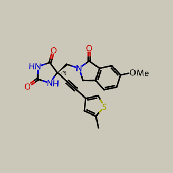 COc1ccc2c(c1)C(=O)N(C[C@@]1(C#Cc3csc(C)c3)NC(=O)NC1=O)C2